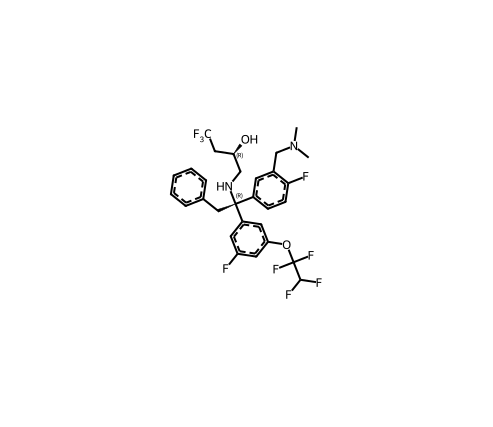 CN(C)Cc1cc([C@@](Cc2ccccc2)(NC[C@H](O)CC(F)(F)F)c2cc(F)cc(OC(F)(F)C(F)F)c2)ccc1F